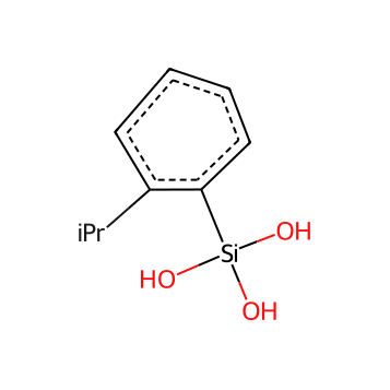 CC(C)c1ccccc1[Si](O)(O)O